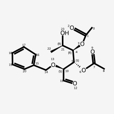 CC(=O)O[C@@H]([C@H](OC(C)=O)[C@@H](C=O)OCc1ccccc1)[C@@H](C)O